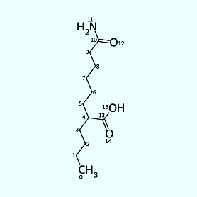 CCCCC(CCCCCC(N)=O)C(=O)O